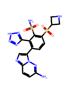 Nc1ccc2ncc(-c3ccc(S(=O)(=O)C4CNC4)c(S(N)(=O)=O)c3-c3nn[nH]n3)n2n1